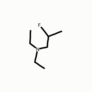 CCN(CC)CC(C)F